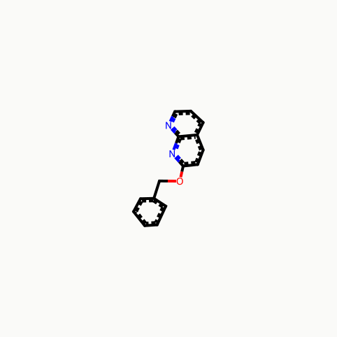 c1ccc(COc2ccc3cccnc3n2)cc1